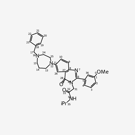 COc1cccc(-c2nc3ccc(N4CCCN(Cc5ccccc5)CC4)cc3c(=O)n2CC(=O)NC(C)C)c1